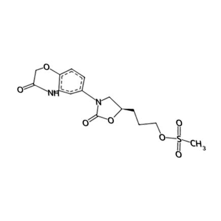 CS(=O)(=O)OCCC[C@@H]1CN(c2ccc3c(c2)NC(=O)CO3)C(=O)O1